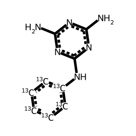 Nc1nc(N)nc(N[13c]2[13cH][13cH][13cH][13cH][13cH]2)n1